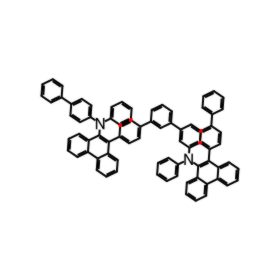 c1ccc(-c2ccc(-c3c(N(c4ccccc4)c4cccc(-c5cccc(-c6ccc(-c7c(N(c8ccccc8)c8ccc(-c9ccccc9)cc8)c8ccccc8c8ccccc78)cc6)c5)c4)c4ccccc4c4ccccc34)cc2)cc1